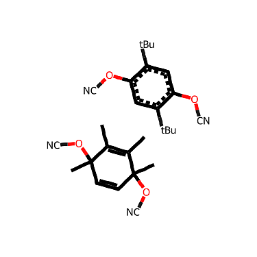 CC(C)(C)c1cc(OC#N)c(C(C)(C)C)cc1OC#N.CC1=C(C)C(C)(OC#N)C=CC1(C)OC#N